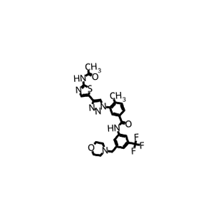 CC(=O)Nc1ncc(-c2cn(-c3cc(C(=O)Nc4cc(CN5CCOCC5)cc(C(F)(F)F)c4)ccc3C)nn2)s1